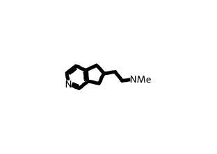 CNCCC1Cc2ccncc2C1